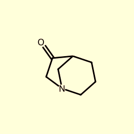 O=C1CN2CCCC1C2